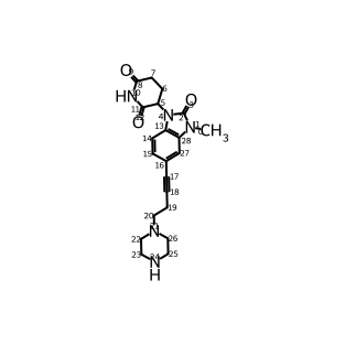 Cn1c(=O)n(C2CCC(=O)NC2=O)c2ccc(C#CCCN3CCNCC3)cc21